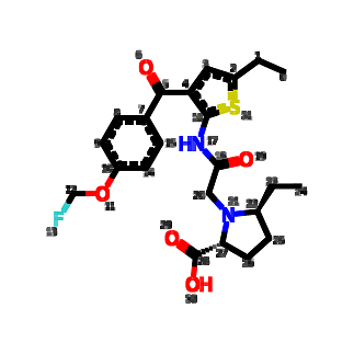 CCc1cc(C(=O)c2ccc(OCF)cc2)c(NC(=O)CN2[C@@H](CC)CC[C@@H]2C(=O)O)s1